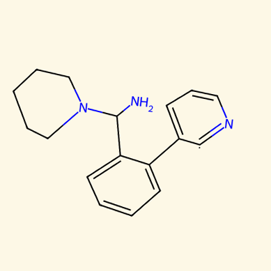 NC(c1ccccc1-c1[c]nccc1)N1CCCCC1